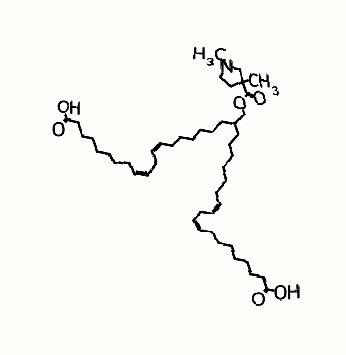 CN1CCC(C)(C(=O)OCC(CCCCCC/C=C\C/C=C\CCCCCCCC(=O)O)CCCCCC/C=C\C/C=C\CCCCCCCC(=O)O)C1